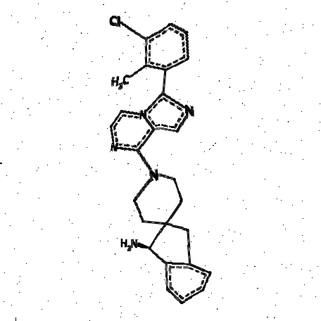 Cc1c(Cl)cccc1-c1ncc2c(N3CCC4(CC3)Cc3ccccc3[C@H]4N)nccn12